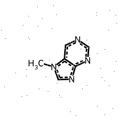 Cn1cnc2ncncc21